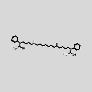 CC(S)N(CCCCNCCCCCCCNCCCCN(c1ccccc1)C(C)S)c1ccccc1